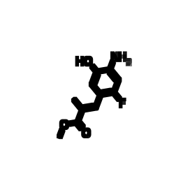 COC(=O)/C(C)=C/c1cc(O)c(N)cc1F